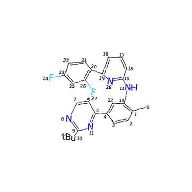 Cc1ccc(-c2ccnc(C(C)(C)C)n2)cc1Nc1cccc(-c2ccc(F)cc2F)n1